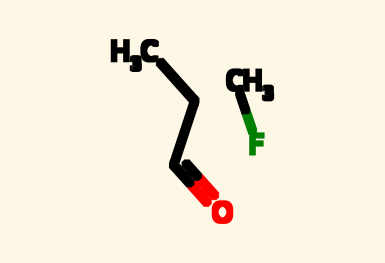 CCC=O.CF